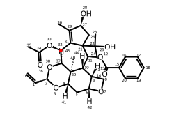 C=C[C@@H]1O[C@H]2C[C@H]3OC[C@H]3[C@H]3[C@H](OC(=O)c4ccccc4)C4(C(C)(C)O)C[C@H](O)C(C)=C4[C@H](OC(C)=O)[C@H](O1)[C@@]32C